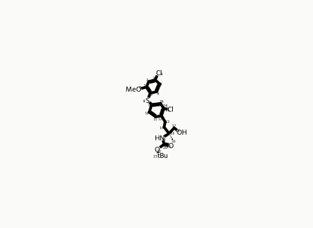 COc1cc(Cl)ccc1Sc1ccc(CC[C@@](C)(CO)NC(=O)OC(C)(C)C)c(Cl)c1